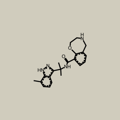 Cc1cccc2c(C(C)(C)NC(=O)c3cccc4c3OCCNC4)n[nH]c12